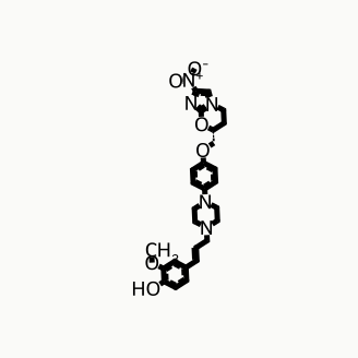 COc1cc(C=CCN2CCN(c3ccc(OC[C@H]4CCn5cc([N+](=O)[O-])nc5O4)cc3)CC2)ccc1O